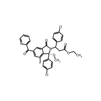 CCOC(=O)CC(c1ccc(Cl)cc1)N1C(=O)c2cc(C(=O)c3ccccn3)cc(F)c2[C@]1(OC)c1ccc(Cl)cc1